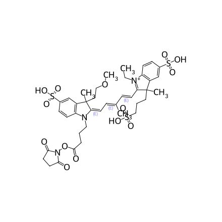 CC[N+]1=C(/C=C/C(C)=C/C=C2/N(CCCC(=O)ON3C(=O)CCC3=O)c3ccc(S(=O)(=O)O)cc3C2(C)CCOC)C(C)(CCCS(=O)(=O)O)c2cc(S(=O)(=O)O)ccc21